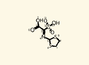 O=C(O)C(=NC1SCCS1)S(=O)(=O)O